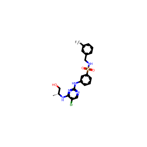 C[C@H](CO)Nc1nc(Nc2cccc(S(=O)(=O)NCc3cccc(C(F)(F)F)c3)c2)ncc1Br